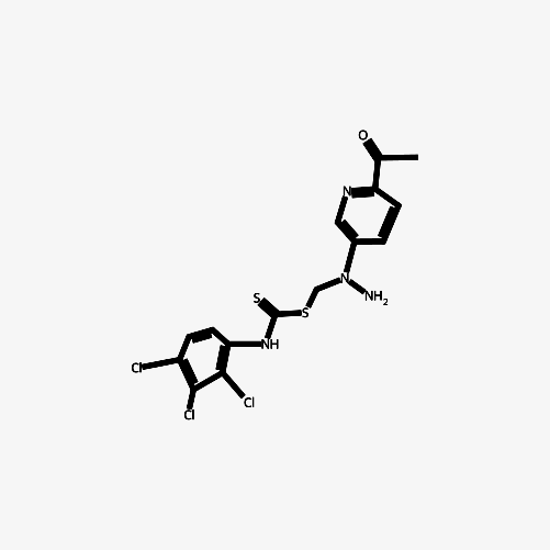 CC(=O)c1ccc(N(N)CSC(=S)Nc2ccc(Cl)c(Cl)c2Cl)cn1